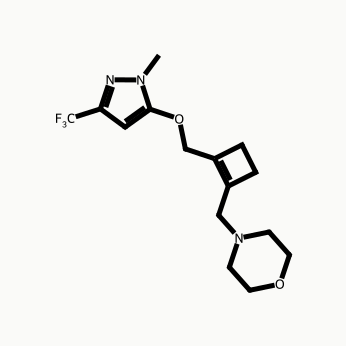 Cn1nc(C(F)(F)F)cc1OCC1=C(CN2CCOCC2)CC1